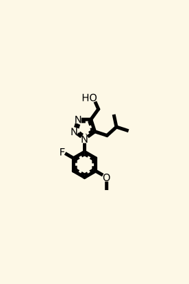 COc1ccc(F)c(-n2nnc(CO)c2CC(C)C)c1